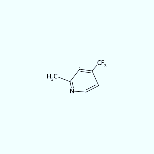 Cc1[c]c(C(F)(F)F)ccn1